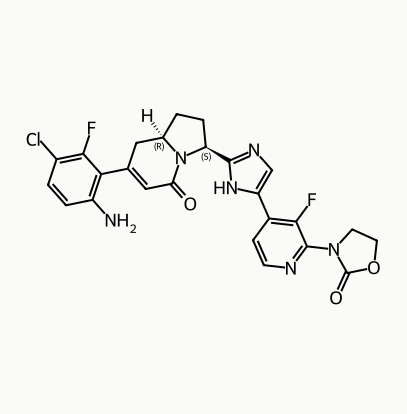 Nc1ccc(Cl)c(F)c1C1=CC(=O)N2[C@H](CC[C@H]2c2ncc(-c3ccnc(N4CCOC4=O)c3F)[nH]2)C1